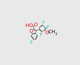 COc1c(F)c(F)cc(-c2c(C(=O)O)oc3cc(F)ccc23)c1F